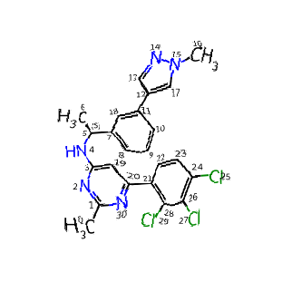 Cc1nc(N[C@@H](C)c2cccc(-c3cnn(C)c3)c2)cc(-c2ccc(Cl)c(Cl)c2Cl)n1